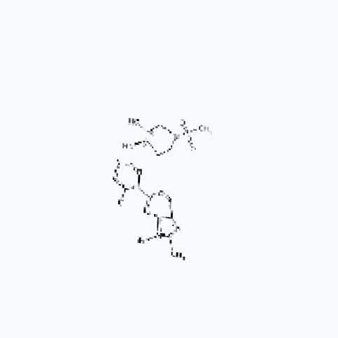 Cc1nc2ccc(-c3nc(N[C@@H]4CCN(S(C)(=O)=O)C[C@H]4O)ncc3Cl)cc2n1C(C)C